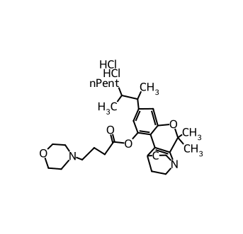 CCCCCC(C)C(C)c1cc(OC(=O)CCCN2CCOCC2)c2c(c1)OC(C)(C)C1=C2C2CCN1CC2.Cl.Cl